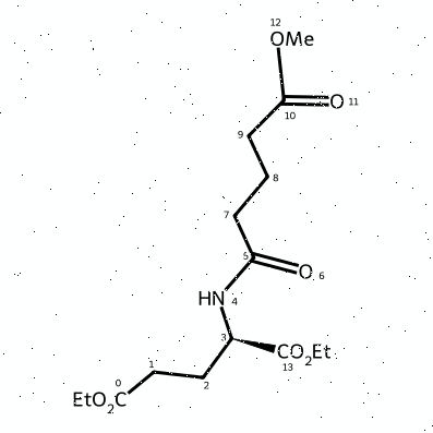 CCOC(=O)CC[C@@H](NC(=O)CCCC(=O)OC)C(=O)OCC